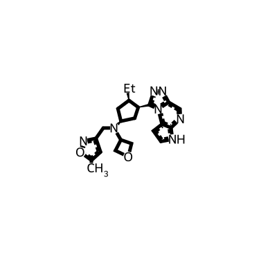 CC[C@@H]1C[C@H](N(Cc2cc(C)on2)C2COC2)C[C@@H]1c1nnc2cnc3[nH]ccc3n12